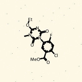 CCOc1nc(=O)n(-c2cc(C(=O)OC)c(Cl)cc2F)c(=O)n1C